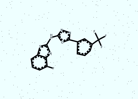 Fc1cccc2sc(Nc3nnc(-c4cccc(C(F)(F)F)c4)o3)nc12